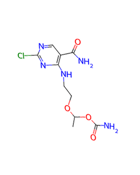 CC(OCCNc1nc(Cl)ncc1C(N)=O)OC(N)=O